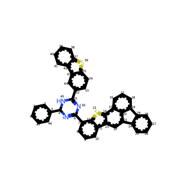 c1ccc(C2N=C(c3cccc4c3sc3c5cccc6c5c(cc43)-c3ccccc3-6)N=C(c3ccc4sc5ccccc5c4c3)N2)cc1